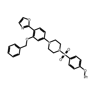 CC(C)Oc1ccc(S(=O)(=O)N2CCN(c3ccc(-c4ncco4)c(OCc4ccccc4)c3)CC2)cc1